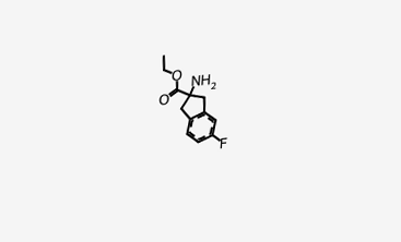 CCOC(=O)C1(N)Cc2ccc(F)cc2C1